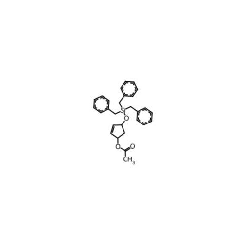 CC(=O)OC1C=CC(O[Si](Cc2ccccc2)(Cc2ccccc2)Cc2ccccc2)C1